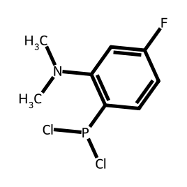 CN(C)c1cc(F)ccc1P(Cl)Cl